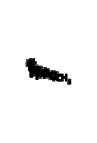 CC1CCC(c2ccc(-c3ccc(OC4CCCC4)c(F)c3F)cc2)CC1